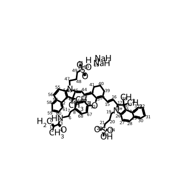 C=C(C)C(=O)NCCc1ccc(OC2=C(/C=C/C3=[N+](CCCS(=O)(=O)O)c4ccc5ccccc5c4C3(C)C)CCC/C2=C\C=C2\N(CCCS(=O)(=O)O)c3ccc4ccccc4c3C2(C)C)cc1.[NaH].[NaH]